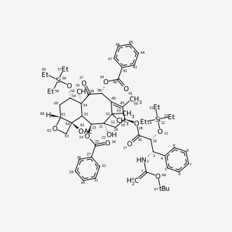 C=C(N[C@@H](c1ccccc1)[C@@H](O[Si](CC)(CC)CC)C(=O)O[C@H]1C[C@@]2(O)[C@@H](OC(=O)c3ccccc3)C3[C@](C)(C(=O)[C@H](OC(=O)c4ccccc4)C(=C1C)C2(C)C)[C@@H](O[Si](CC)(CC)CC)C[C@H]1OC[C@@]31OC(C)=O)OC(C)(C)C